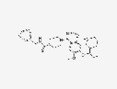 CCC(Oc1cc2ncnc(N3CCN(C(=S)NCc4cccnc4)CC3)c2cc1OC)C1CCCNC1